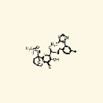 Cc1ncnn1-c1cc(F)ccc1CNC(=O)c1nc2n(c(=O)c1O)CC1CCC2(NS(C)(=O)=O)CC1